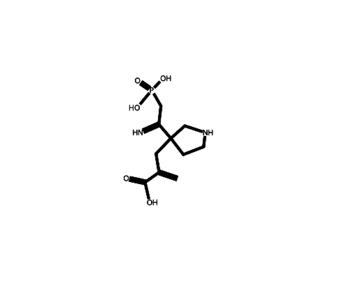 C=C(CC1(C(=N)CP(=O)(O)O)CCNC1)C(=O)O